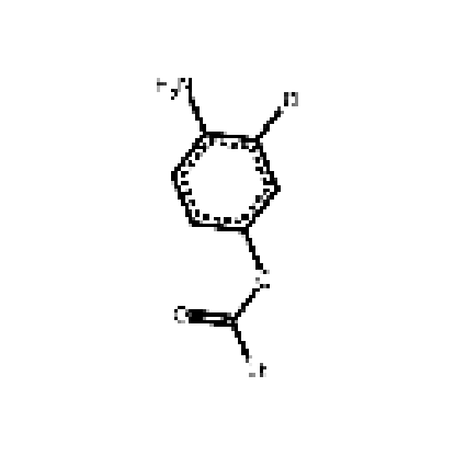 CCC(=O)Oc1ccc(N)c(Cl)c1